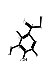 CCC(=O)c1cc(C)c(O)c(CC)c1C